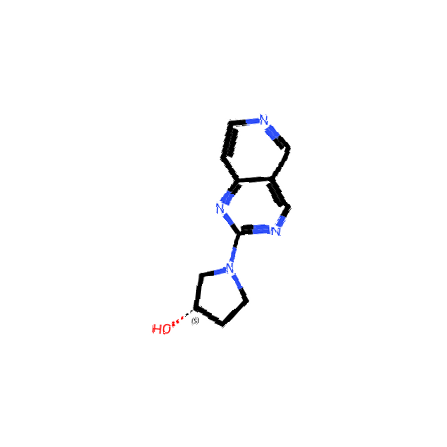 O[C@H]1CCN(c2ncc3cnccc3n2)C1